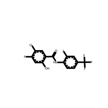 O=C(Nc1ccc(C(F)(F)F)cc1I)c1cc(Cl)c(F)cc1O